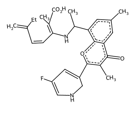 C=C(/C=C\C(NC(C)c1cc(C)cc2c(=O)c(C)c(C3=CC(F)=CNC3)oc12)=C(/C)C(=O)O)CC